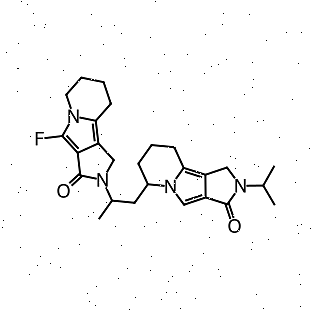 CC(C)N1Cc2c(cn3c2CCCC3CC(C)N2Cc3c(c(F)n4c3CCCC4)C2=O)C1=O